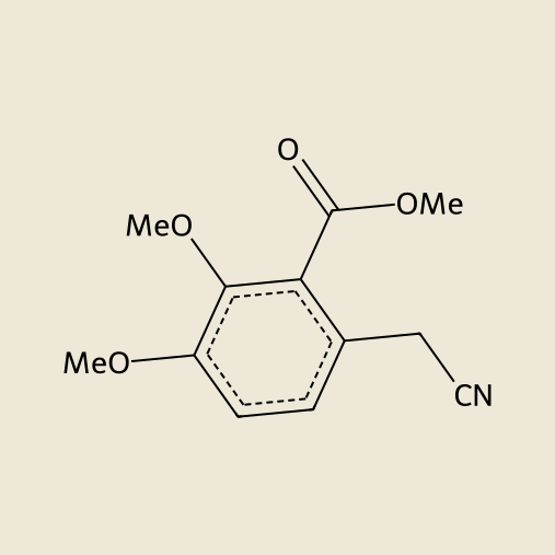 COC(=O)c1c(CC#N)ccc(OC)c1OC